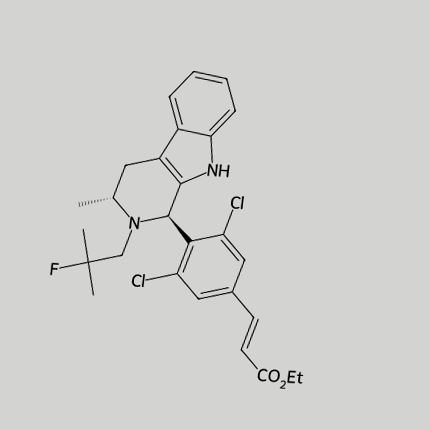 CCOC(=O)/C=C/c1cc(Cl)c([C@@H]2c3[nH]c4ccccc4c3C[C@@H](C)N2CC(C)(C)F)c(Cl)c1